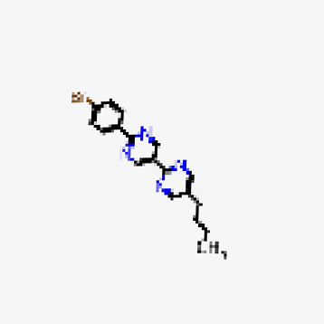 CCCCc1cnc(-c2cnc(-c3ccc(Br)cc3)nc2)nc1